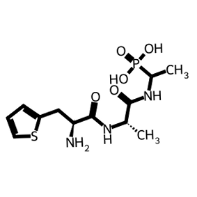 CC(NC(=O)[C@H](C)NC(=O)[C@@H](N)Cc1cccs1)P(=O)(O)O